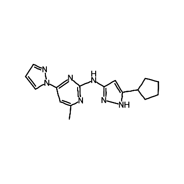 Cc1cc(-n2cccn2)nc(Nc2cc(C3CCCC3)[nH]n2)n1